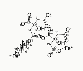 O=C([O-])CC(O)(CC(=O)[O-])C(=O)[O-].O=C([O-])CC(O)(CC(=O)[O-])C(=O)[O-].[Fe+].[Fe+].[Fe+].[NH4+].[NH4+].[NH4+]